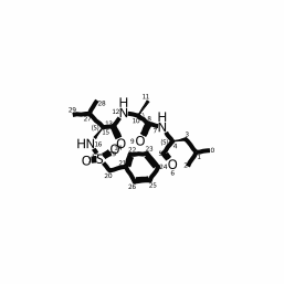 CC(C)C[C@@H](C=O)NC(=O)[C@H](C)NC(=O)[C@@H](NS(=O)(=O)Cc1ccccc1)C(C)C